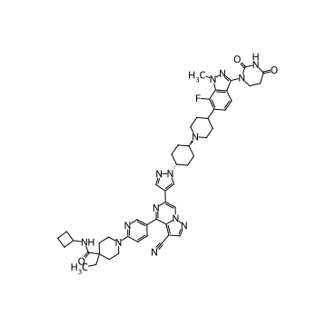 CCC1(C(=O)NC2CCC2)CCN(c2ccc(-c3nc(-c4cnn([C@H]5CC[C@H](N6CCC(c7ccc8c(N9CCC(=O)NC9=O)nn(C)c8c7F)CC6)CC5)c4)cn4ncc(C#N)c34)cn2)CC1